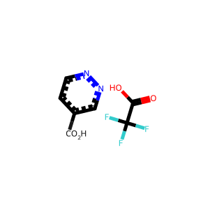 O=C(O)C(F)(F)F.O=C(O)c1ccnnc1